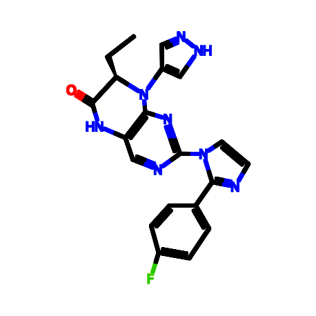 CC[C@@H]1C(=O)Nc2cnc(-n3ccnc3-c3ccc(F)cc3)nc2N1c1cn[nH]c1